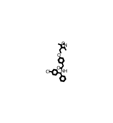 Cc1noc(C)c1CCOc1ccc(CC(=O)NC(c2ccccc2)c2ccc(Cl)cc2)cc1